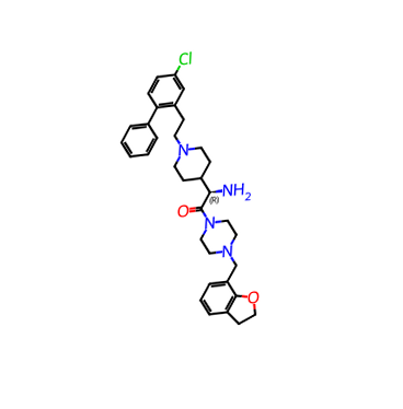 N[C@@H](C(=O)N1CCN(Cc2cccc3c2OCC3)CC1)C1CCN(CCc2cc(Cl)ccc2-c2ccccc2)CC1